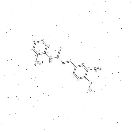 CCCCOc1ccc(/C=C/C(=O)Nc2ccccc2C(=O)O)cc1OC